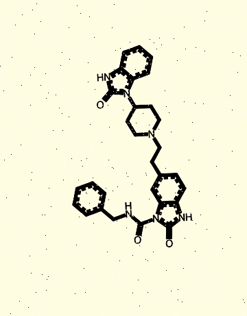 O=C(NCc1ccccc1)n1c(=O)[nH]c2ccc(CCN3CCC(n4c(=O)[nH]c5ccccc54)CC3)cc21